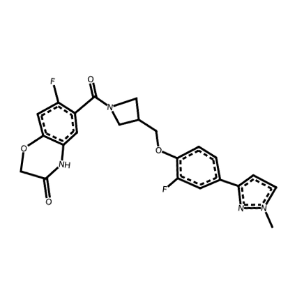 Cn1ccc(-c2ccc(OCC3CN(C(=O)c4cc5c(cc4F)OCC(=O)N5)C3)c(F)c2)n1